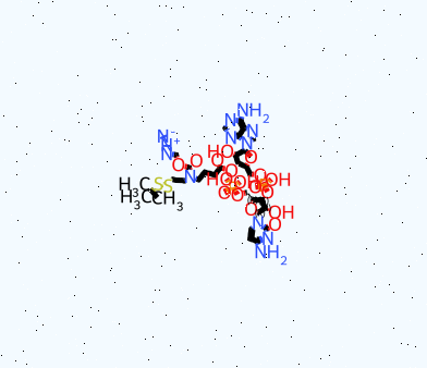 CC(C)(C)SSCCN(CCCC(=O)OC1C(COP(=O)(O)O[C@H]2[C@@H](O)[C@H](n3ccc(N)nc3=O)O[C@@H]2COP(=O)(O)O)OC(n2cnc3c(N)ncnc32)C1O)C(=O)OCN=[N+]=[N-]